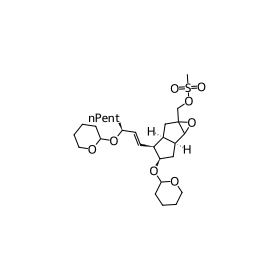 CCCCC[C@@H](C=C[C@H]1[C@H]2CC3(COS(C)(=O)=O)OC3[C@H]2C[C@H]1OC1CCCCO1)OC1CCCCO1